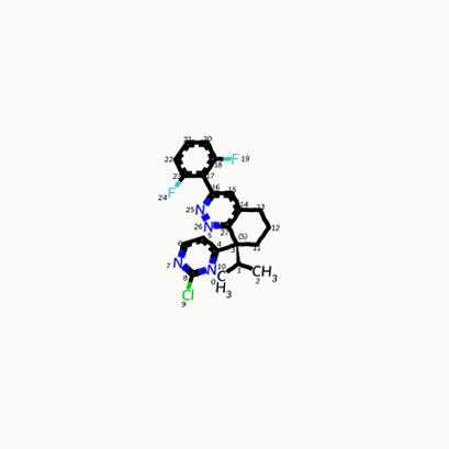 CC(C)[C@]1(c2ccnc(Cl)n2)CCCc2cc(-c3c(F)cccc3F)nnc21